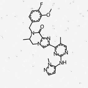 COc1cc(CN2C(=O)c3nc(-c4nc(Nc5ccnn5C)ncc4C)cn3CC2C)ccc1F